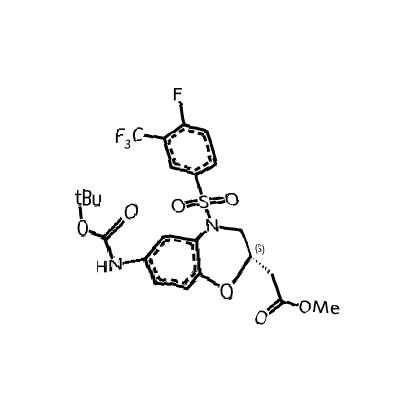 COC(=O)C[C@H]1CN(S(=O)(=O)c2ccc(F)c(C(F)(F)F)c2)c2cc(NC(=O)OC(C)(C)C)ccc2O1